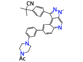 CC(=O)N1CCN(c2cccc(-c3ccc4ncc5c(c(-c6ccc(C(C)(C)C#N)cc6)nn5C)c4c3)c2)CC1